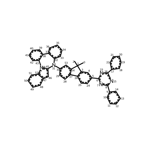 CC1(C)c2cc(-c3nc(-c4ccccc4)nc(-c4ccccc4)n3)ccc2-c2ccc(N3c4ccccc4-c4ccccc4-n4c3cc3ccccc34)cc21